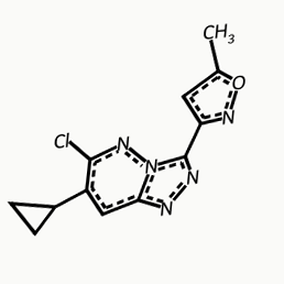 Cc1cc(-c2nnc3cc(C4CC4)c(Cl)nn23)no1